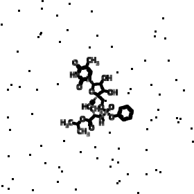 C#C[C@]1(CO[P@@](=O)(N[C@@H](C)C(=O)OC(C)C)Oc2ccccc2)O[C@@H](n2cc(C)c(=O)[nH]c2=O)C(O)C1O